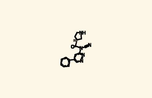 N#CN(C(=O)[C@H]1CCNC1)c1cc(-c2ccccc2)cnn1